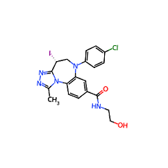 Cc1nnc2n1-c1ccc(C(=O)NCCO)cc1N(c1ccc(Cl)cc1)C[C@H]2I